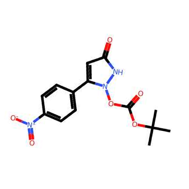 CC(C)(C)OC(=O)On1[nH]c(=O)cc1-c1ccc([N+](=O)[O-])cc1